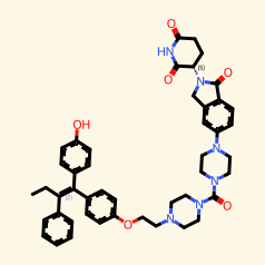 CC/C(=C(\c1ccc(O)cc1)c1ccc(OCCN2CCN(C(=O)N3CCN(c4ccc5c(c4)CN([C@H]4CCC(=O)NC4=O)C5=O)CC3)CC2)cc1)c1ccccc1